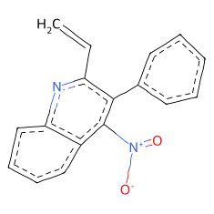 C=Cc1nc2ccccc2c([N+](=O)[O-])c1-c1ccccc1